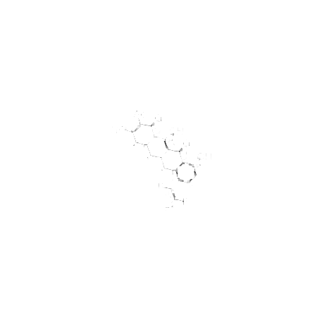 CC(=O)C1=C(O)CC2CC3Cc4c(C(F)=C(F)F)ccc(O)c4C(=O)C3=C(O)C2C1=O